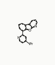 CC(C)c1ccnc(-c2cccc3c2oc2ncccc23)c1